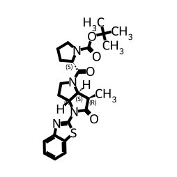 C[C@H]1C(=O)N(c2nc3ccccc3s2)[C@@H]2CCN(C(=O)[C@@H]3CCCN3C(=O)OC(C)(C)C)[C@H]21